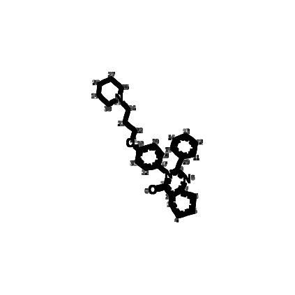 O=c1c2ccccc2nc(-c2ccccc2)n1-c1ccc(OCCCN2CCCCC2)cc1